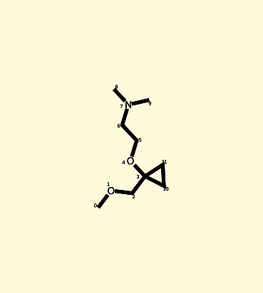 COCC1(OCCN(C)C)CC1